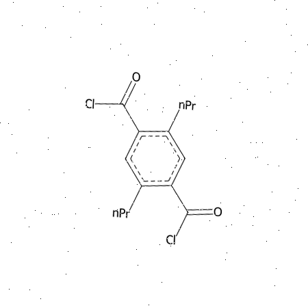 CCCc1cc(C(=O)Cl)c(CCC)cc1C(=O)Cl